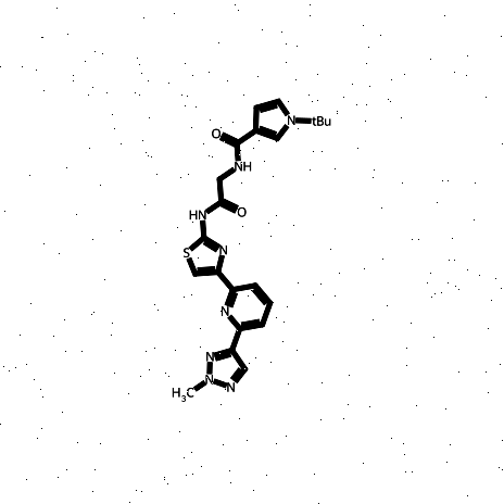 Cn1ncc(-c2cccc(-c3csc(NC(=O)CNC(=O)c4ccn(C(C)(C)C)c4)n3)n2)n1